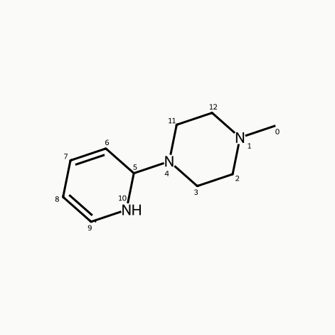 CN1CCN(C2C=CC=[C]N2)CC1